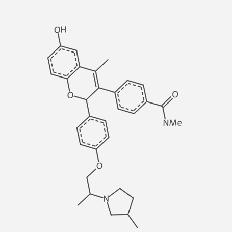 CNC(=O)c1ccc(C2=C(C)c3cc(O)ccc3OC2c2ccc(OCC(C)N3CCC(C)C3)cc2)cc1